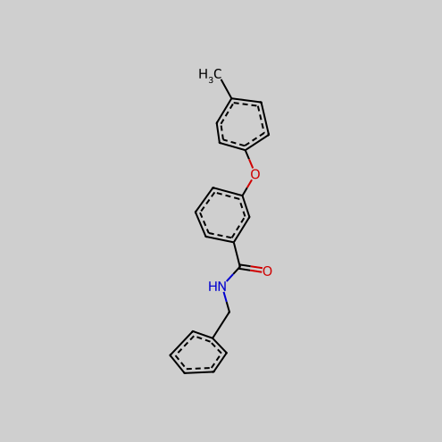 Cc1ccc(Oc2cccc(C(=O)NCc3ccccc3)c2)cc1